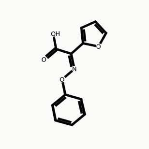 O=C(O)C(=NOc1ccccc1)c1ccco1